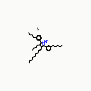 CCCCCCCC=CC1=C(c2cccc(CCCCC)c2)[N+](=[N-])C(c2cccc(CCCC)c2)=C1CCCC.[Ni]